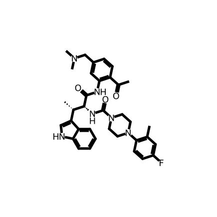 CC(=O)c1ccc(CN(C)C)cc1NC(=O)[C@H](NC(=O)N1CCN(c2ccc(F)cc2C)CC1)[C@@H](C)c1c[nH]c2ccccc12